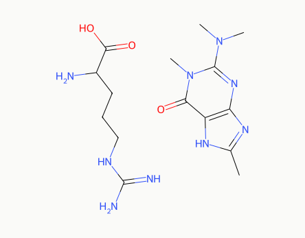 Cc1nc2nc(N(C)C)n(C)c(=O)c2[nH]1.N=C(N)NCCCC(N)C(=O)O